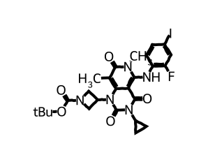 Cc1c(=O)n(C)c(Nc2ccc(I)cc2F)c2c(=O)n(C3CC3)c(=O)n(C3CN(C(=O)OC(C)(C)C)C3)c12